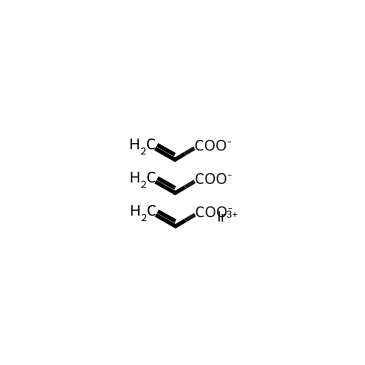 C=CC(=O)[O-].C=CC(=O)[O-].C=CC(=O)[O-].[Ir+3]